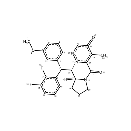 COc1cccc([C@@H](c2cccc(F)c2F)[C@H]2[C@H]3CCCN3C(=O)c3c(C)c(=O)cnn32)c1